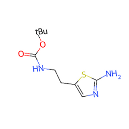 CC(C)(C)OC(=O)NCCc1cnc(N)s1